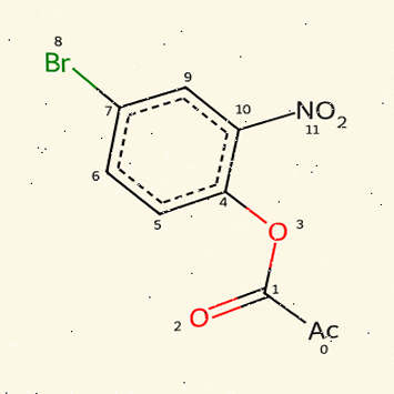 CC(=O)C(=O)Oc1ccc(Br)cc1[N+](=O)[O-]